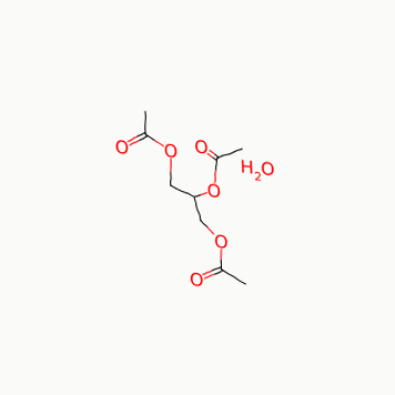 CC(=O)OCC(COC(C)=O)OC(C)=O.O